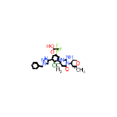 C[C@H]1C[C@@H](N2C(=N)N[C@](C)(c3cccc(-c4cn(Cc5ccccc5)nn4)c3Cl)CC2=O)CCO1.O=C(O)C(F)(F)F